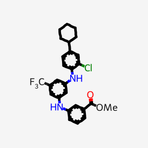 COC(=O)c1cccc(Nc2cc(Nc3ccc(C4CCCCC4)cc3Cl)cc(C(F)(F)F)c2)c1